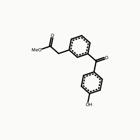 COC(=O)Cc1cccc(C(=O)c2ccc(O)cc2)c1